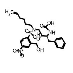 C=CCCCCN(C[C@@H](O)[C@H](Cc1ccccc1)NC(=O)O)S(=O)(=O)c1ccc([N+](=O)[O-])cc1CO